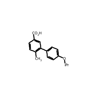 Cc1ccc(C(=O)O)cc1-c1ccc(OC(C)C)cc1